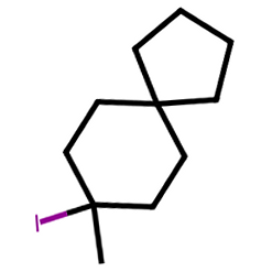 CC1(I)CCC2(CCCC2)CC1